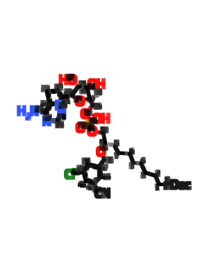 CCCCCCCCCCCCCCCCCC[C@@H](COP(=O)(O)OC[C@@]1(C)O[C@@H](c2ccc3c(N)ncnn23)[C@H](O)[C@@H]1O)OCc1cc(Cl)cc(C#N)c1